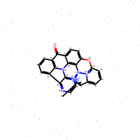 Cc1cc2n(n1)[N+]13c4c(ccc5c(=O)c6cccc7c8ncc[n+]1c8n(c45)c67)Oc1cccc-2[n+]13